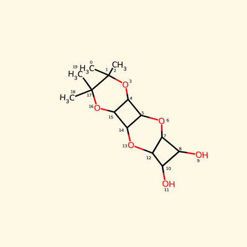 CC1(C)OC2C3OC4C(O)C(O)C4OC3C2OC1(C)C